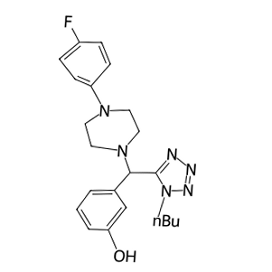 CCCCn1nnnc1C(c1cccc(O)c1)N1CCN(c2ccc(F)cc2)CC1